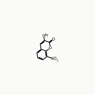 CCCc1cc2cccc([N+](=O)[O-])c2oc1=O